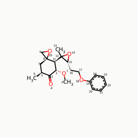 CO[C@@H]1C(=O)[C@@H](C)C[C@]2(CO2)[C@H]1C1(C)O[C@@H]1CCOc1ccccc1